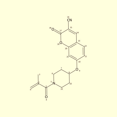 C=C(C)C(=O)N1CCC(Oc2ccc3cc(C#N)c(=O)oc3c2)CC1